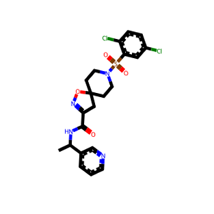 CC(NC(=O)C1=NOC2(CCN(S(=O)(=O)c3cc(Cl)ccc3Cl)CC2)C1)c1cccnc1